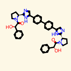 O=C([C@H](O)c1ccccc1)N1CCC[C@H]1c1ncc(-c2ccc(-c3ccc(-c4cnc([C@@H]5CCCN5C(=O)[C@H](O)c5ccccc5)[nH]4)cc3)cc2)[nH]1